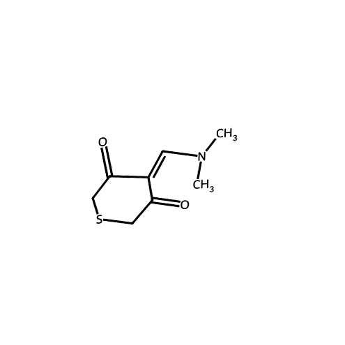 CN(C)C=C1C(=O)CSCC1=O